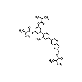 C=C(C)C(=O)OCC1Cc2ccc(-c3ccc(-c4cc(OC(=O)C(=C)C)cc(OC(=O)C(=C)C)c4)c(C)c3)cc2C1